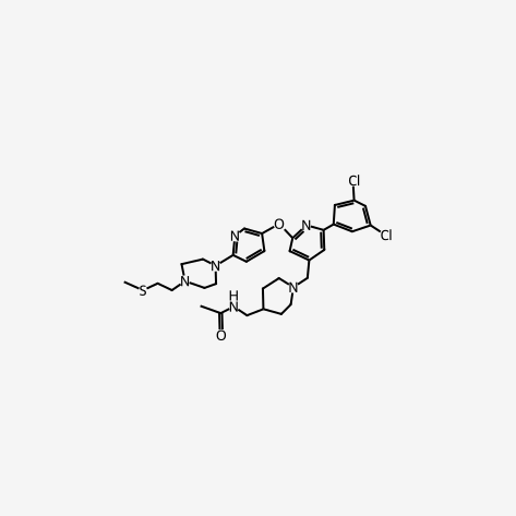 CSCCN1CCN(c2ccc(Oc3cc(CN4CCC(CNC(C)=O)CC4)cc(-c4cc(Cl)cc(Cl)c4)n3)cn2)CC1